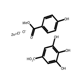 COC(=O)c1ccc(O)cc1.O=C(O)c1cc(O)c(O)c(O)c1.[Cl-].[Cl-].[Zn+2]